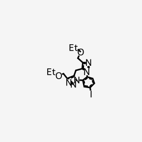 CCOCc1ncn2c1Cc1c(COCC)nnn1-c1cc(I)ccc1-2